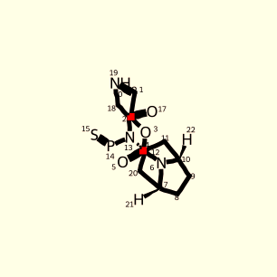 C=CCOC(=O)N1[C@@H]2CC[C@H]1C[C@@H](N(P=S)C(=O)CN)C2